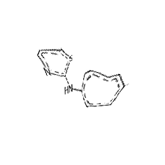 [c]1ccc(Nc2nccs2)cc1